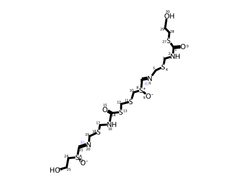 O=C(NCSC/N=C/[S+]([O-])CSCSC(=O)NCSC/N=C/[S+]([O-])CCO)SCCO